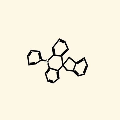 c1ccc(N2c3ccccc3C3(Cc4ccccc4C3)c3ccccc32)cc1